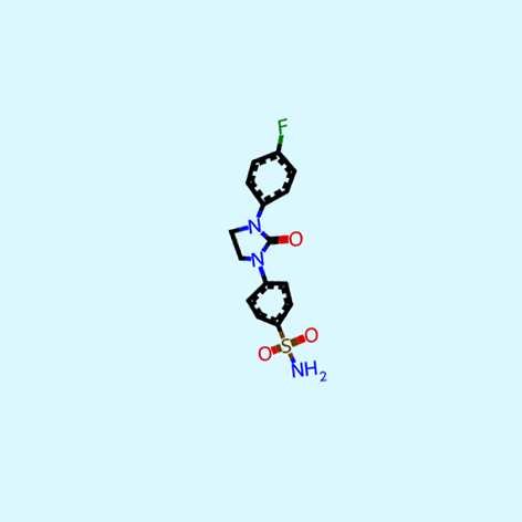 NS(=O)(=O)c1ccc(N2CCN(c3ccc(F)cc3)C2=O)cc1